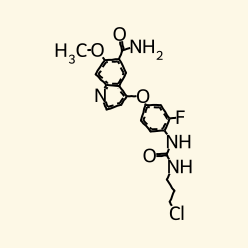 COc1cc2nccc(Oc3ccc(NC(=O)NCCCCl)c(F)c3)c2cc1C(N)=O